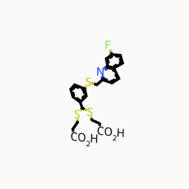 O=C(O)CCSC(SCCC(=O)O)c1cccc(SCc2ccc3ccc(F)cc3n2)c1